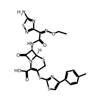 CCO/N=C(\C(=O)N[C@@H]1C(=O)N2C(C(=O)O)=C(Sc3nc(-c4ccc(C)cc4)cs3)CS[C@H]12)c1nsc(N)n1